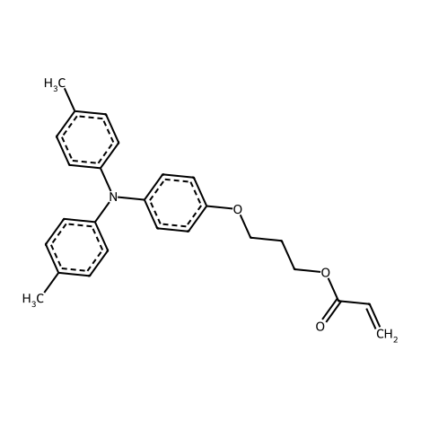 C=CC(=O)OCCCOc1ccc(N(c2ccc(C)cc2)c2ccc(C)cc2)cc1